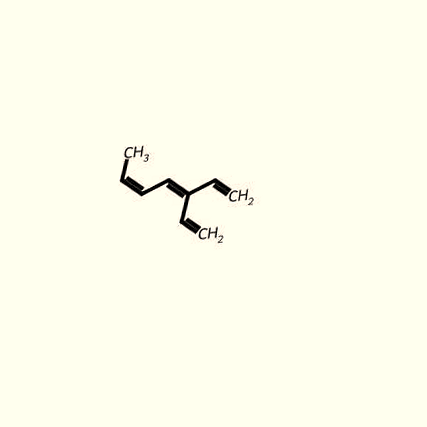 C=CC(C=C)=C/C=C\C